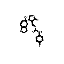 CC1([C@@H]2CNC(=O)C2/C=N/C(=O)Nc2ccc(F)cc2)C=CC2=C(CCO2)C1